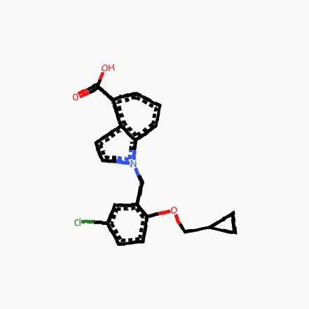 O=C(O)c1cccc2c1ccn2Cc1cc(Cl)ccc1OCC1CC1